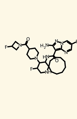 Nc1nn2cc(F)cnc2c1C(=O)NC1C(N2CCC(C(=O)N3CC(F)C3)CC2)C(F)CNC12CCCCCCCC2